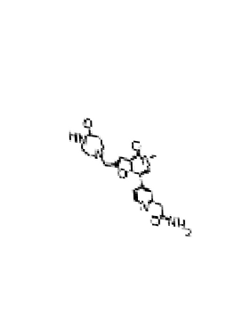 Cn1cc(-c2ccnc(CC(N)=O)c2)c2oc(CN3CCNC(=O)CC3)cc2c1=O